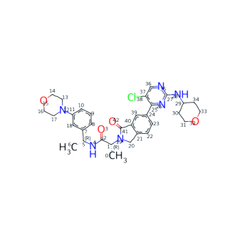 C[C@H](C(=O)N[C@H](C)c1cccc(N2CCOCC2)c1)N1Cc2ccc(-c3nc(NC4CCOCC4)ncc3Cl)cc2C1=O